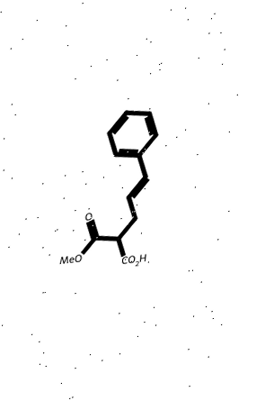 COC(=O)C(CC=Cc1ccccc1)C(=O)O